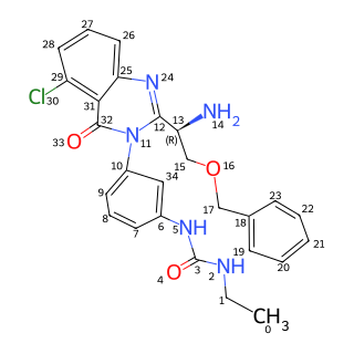 CCNC(=O)Nc1cccc(-n2c([C@@H](N)COCc3ccccc3)nc3cccc(Cl)c3c2=O)c1